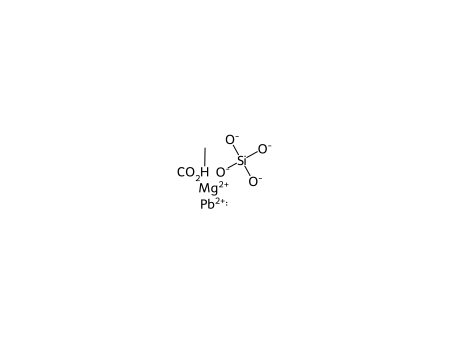 CC(=O)O.[Mg+2].[O-][Si]([O-])([O-])[O-].[Pb+2]